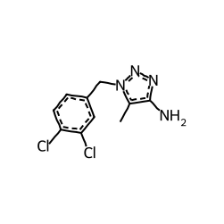 Cc1c(N)nnn1Cc1ccc(Cl)c(Cl)c1